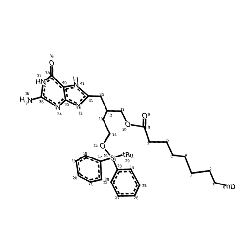 CCCCCCCCCCCCCCCCCC(=O)OCC(CCO[Si](c1ccccc1)(c1ccccc1)C(C)(C)C)Cc1nc2nc(N)[nH]c(=O)c2[nH]1